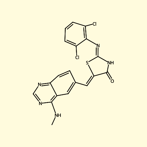 CNc1ncnc2ccc(/C=C3\S/C(=N\c4c(Cl)cccc4Cl)NC3=O)cc12